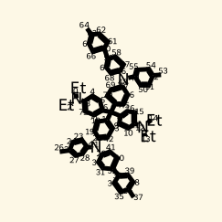 CCN(CC)c1ccc(C(c2ccc(N(CC)CC)cc2)(c2ccc(N(c3ccc(C)cc3)c3ccc(-c4ccc(C)cc4)cc3)cc2)c2ccc(N(c3ccc(C)cc3)c3ccc(-c4ccc(C)cc4)cc3)cc2)cc1